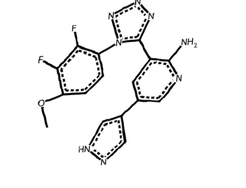 COc1ccc(-n2nnnc2-c2cc(-c3cn[nH]c3)cnc2N)c(F)c1F